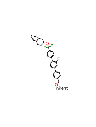 C=C[C@H]1CC[C@H](OC(F)(F)c2ccc(-c3ccc(-c4ccc(COCCCCC)cc4)cc3F)cc2)CC1